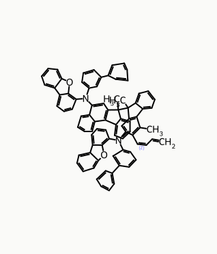 C=C/C=C\c1c(N(c2cccc(-c3ccccc3)c2)c2cccc3c2oc2ccccc23)cc2c(c1C)-c1ccccc1C2(C)C1(C)c2ccccc2-c2c1cc(N(c1cccc(-c3ccccc3)c1)c1cccc3c1oc1ccccc13)c1ccccc21